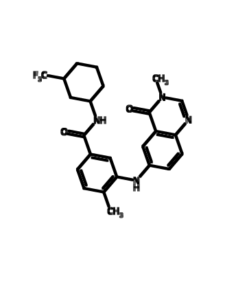 Cc1ccc(C(=O)NC2CCCC(C(F)(F)F)C2)cc1Nc1ccc2ncn(C)c(=O)c2c1